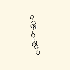 C1=CC(CCc2ccc(CCc3ccc4c(n3)C=CC(c3ccccc3)C4)cc2)=NC2CC=C(c3ccccc3)C=C12